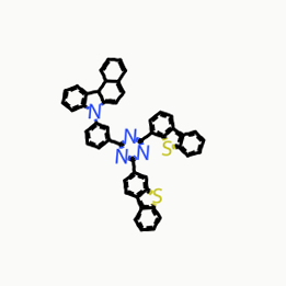 C1=CC2=CC=C3C(c4ccccc4N3c3cccc(-c4nc(-c5ccc6c(c5)sc5ccccc56)nc(-c5cccc6c5sc5ccccc56)n4)c3)C2C=C1